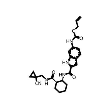 C=CCOC(=O)Nc1ccc2cc(C(=O)N[C@H]3CCCC[C@H]3C(=O)NCC3(C#N)CC3)[nH]c2c1